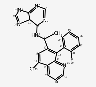 CC(NC1N=CN=C2NC=NC21)c1cc(Cl)c2cccnc2c1-c1ccccc1F